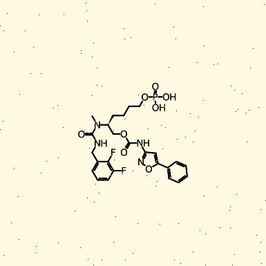 CN(C(=O)NCc1cccc(F)c1F)[C@@H](CCCCOP(=O)(O)O)COC(=O)Nc1cc(-c2ccccc2)on1